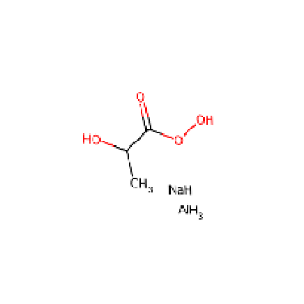 CC(O)C(=O)OO.[AlH3].[NaH]